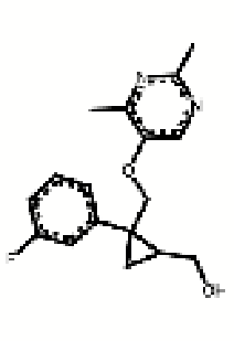 Cc1ncc(OCC2(c3cccc(F)c3)CC2CO)c(C)n1